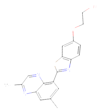 COc1cnc2c(-c3nc4ccc(OCCO)cc4s3)cc(C)cc2n1